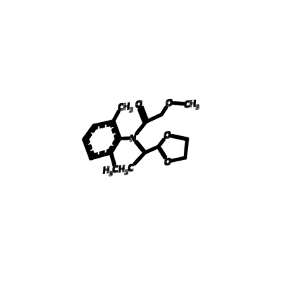 COCC(=O)N(c1c(C)cccc1C)C(C)C1OCCO1